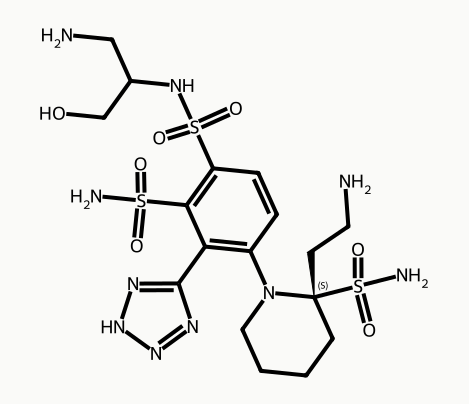 NCC[C@@]1(S(N)(=O)=O)CCCCN1c1ccc(S(=O)(=O)NC(CN)CO)c(S(N)(=O)=O)c1-c1nn[nH]n1